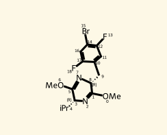 COC1=N[C@H](C(C)C)C(OC)=N[C@@H]1Cc1cc(F)c(Br)cc1F